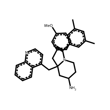 COc1cccc(CC2(Cc3ccnc4ccccc34)CC(N)CCN2C(=O)c2cc(C)cc(C)c2)c1